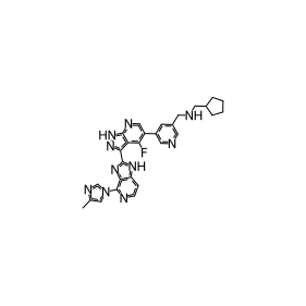 Cc1cn(-c2nccc3[nH]c(-c4n[nH]c5ncc(-c6cncc(CNCC7CCCC7)c6)c(F)c45)nc23)cn1